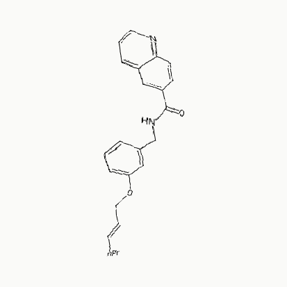 CCCC=CCOc1cccc(CNC(=O)c2ccc3ncccc3c2)c1